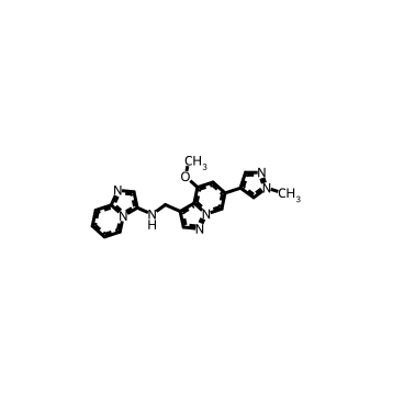 COc1cc(-c2cnn(C)c2)cn2ncc(CNc3cnc4ccccn34)c12